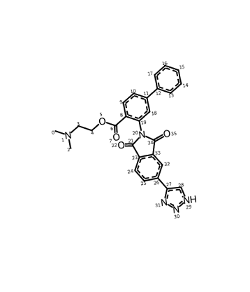 CN(C)CCOC(=O)c1ccc(-c2ccccc2)cc1N1C(=O)c2ccc(-c3c[nH]nn3)cc2C1=O